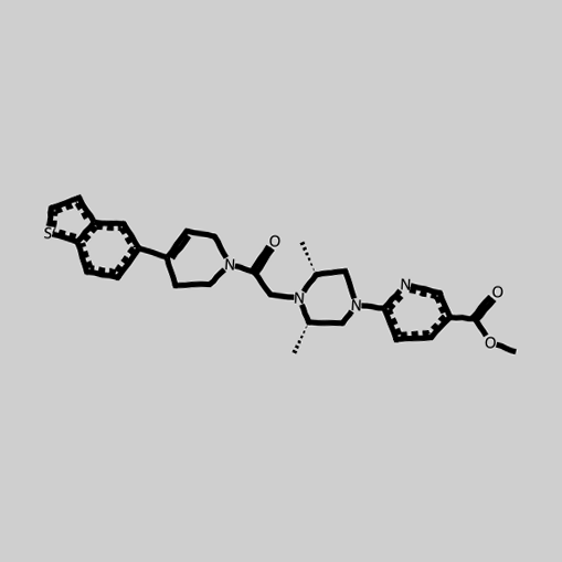 COC(=O)c1ccc(N2C[C@@H](C)N(CC(=O)N3CC=C(c4ccc5sccc5c4)CC3)[C@@H](C)C2)nc1